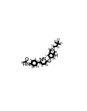 CC(=O)Nc1ccc(-c2ccc(O[C@@H]3CC4CN(CCC(C)(C)C)C[C@H]4C3)nn2)cc1